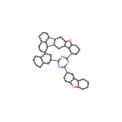 c1ccc2cc(-c3nc(-c4ccc5oc6ccccc6c5c4)nc(-c4cccc5oc6cc7c(cc6c45)-c4cccc5cccc-7c45)n3)ccc2c1